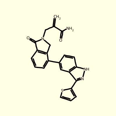 C=C(CN1Cc2c(cccc2-c2ccc3[nH]nc(-c4cccs4)c3c2)C1=O)C(N)=O